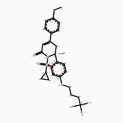 CCc1ccc(C2=CC(=O)N(S(=O)(=O)C3CC3)[C@](C)(c3ccc(OCCCC(F)(F)F)cc3)C2)cc1